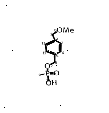 COCc1ccc(CO[P@](C)(=O)O)cc1